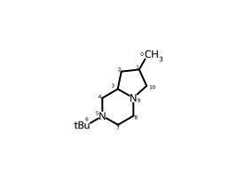 CC1CC2CN(C(C)(C)C)CCN2C1